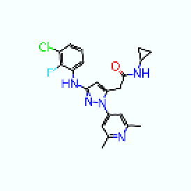 Cc1cc(-n2nc(Nc3cccc(Cl)c3F)cc2CC(=O)NC2CC2)cc(C)n1